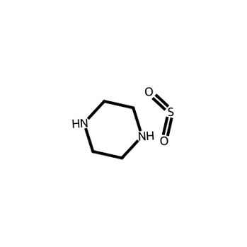 C1CNCCN1.O=S=O